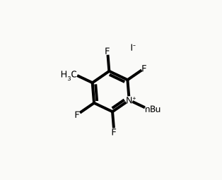 CCCC[n+]1c(F)c(F)c(C)c(F)c1F.[I-]